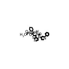 C=CC(=O)N[C@@H]1CCCC[C@H]1NC(=O)c1sc2nccc3c2c1NC(=O)N3c1ccnc(-c2ccccc2)c1